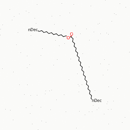 CCCCCCCCCCCCCCCCCCCCCCCCCCCCCCCCCCCCC(=O)OCCCCCCCCCCCCCCCCCCCCCC